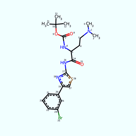 CN(C)CCC(NC(=O)OC(C)(C)C)C(=O)Nc1nc(-c2cccc(Br)c2)cs1